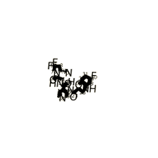 N#C[C@@H]1CC(F)(F)CN1C(=O)CNC(=O)c1ccncc1NC(=O)C1CNc2cc(F)ccc2O1